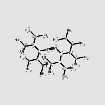 BB(B)B(B)B(B(B)B)B(/N=B/B(B(B(B)B)B(B)B)B(B(B)B)B(B)B)B(B(B)B)B(B)B